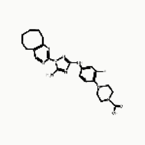 Nc1nc(Nc2ccc(N3CCN(C(=O)O)CC3)c(F)c2)nn1-c1ncc2c(n1)CCCCCC2